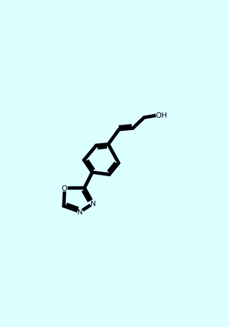 OCC=Cc1ccc(-c2nnco2)cc1